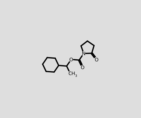 CC(OC(=O)N1CCCC1=O)C1CCCCC1